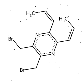 C/C=C\c1nc(CBr)c(CBr)nc1/C=C\C